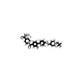 CC(C)(F)CN1CCC(COc2ccc(-c3ccc(C(=O)N4CCC(C(N)=O)CC4)cc3F)nc2)CC1